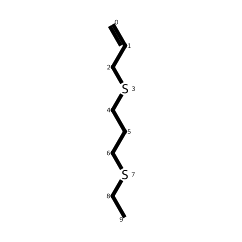 C=CCSCCCSCC